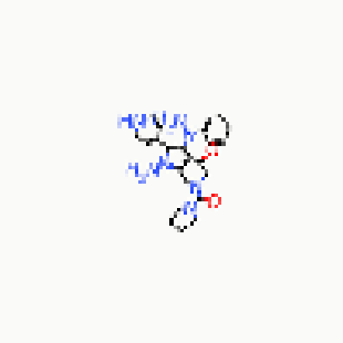 NN(C1=CCCC=C1)c1c2c(n(N)c1C1=CCNC=C1)CN(C(=O)N1CCCC1)CC2=O